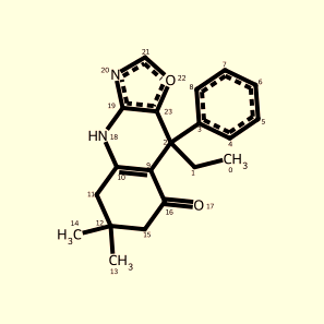 CCC1(c2ccccc2)C2=C(CC(C)(C)CC2=O)Nc2ncoc21